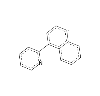 [c]1ccc(-c2ccccn2)c2ccccc12